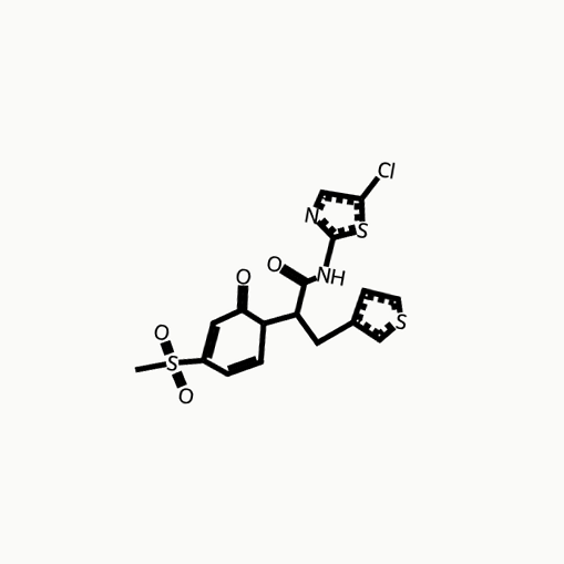 CS(=O)(=O)C1=CC(=O)C(C(Cc2ccsc2)C(=O)Nc2ncc(Cl)s2)C=C1